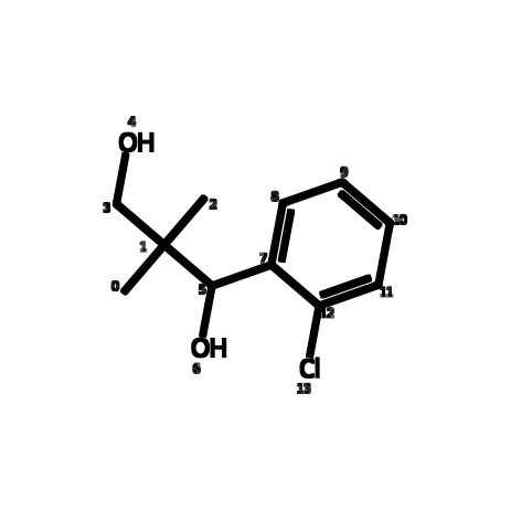 CC(C)(CO)C(O)c1ccccc1Cl